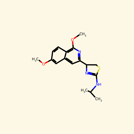 COc1ccc2c(OC)nc(C3CSC(NC(C)C)=N3)cc2c1